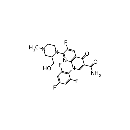 CN1CCN(c2nc3c(cc2F)c(=O)c(C(N)=O)cn3-c2c(F)cc(F)cc2F)C(CO)C1